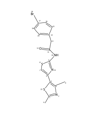 Cc1nc(C)c(-c2csc(NC(=O)Cc3ccc(Br)cc3)n2)s1